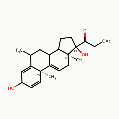 CC(=O)OCC(=O)[C@@]1(O)CCC2C3CC(C(F)(F)F)C4=CC(O)C=C[C@]4(C)C3=CC[C@@]21C